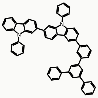 c1ccc(-c2cc(-c3ccccc3)cc(-c3cccc(-c4ccc5c(c4)c4ccc(-c6ccc7c8ccccc8n(-c8ccccc8)c7c6)cc4n5-c4ccccc4)c3)c2)cc1